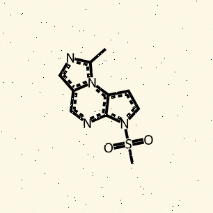 Cc1ncc2cnc3c(ccn3S(C)(=O)=O)n12